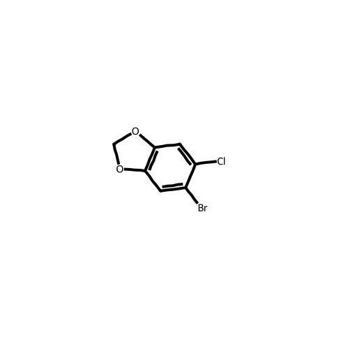 Clc1cc2c(cc1Br)OCO2